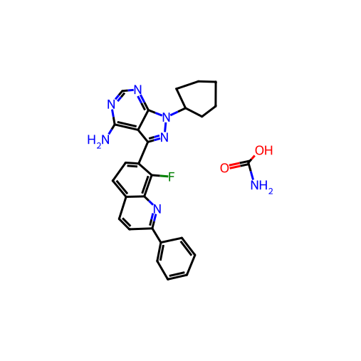 NC(=O)O.Nc1ncnc2c1c(-c1ccc3ccc(-c4ccccc4)nc3c1F)nn2C1CCCCC1